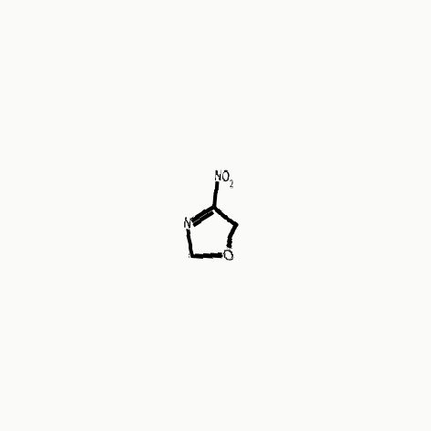 O=[N+]([O-])C1=N[C]OC1